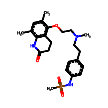 Cc1cc(C)c(OCCN(C)CCc2ccc(NS(C)(=O)=O)cc2)c2c1NC(=O)CC2